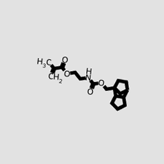 C=C(C)C(=O)OCCNC(=O)OCC12CCC(C1)C1CCCC12